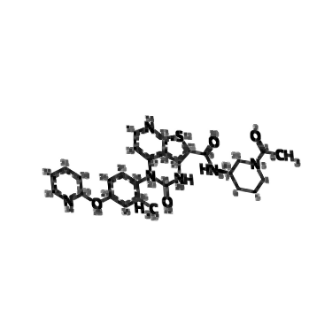 CC(=O)N1CCC[C@@H](NC(=O)c2sc3nccc4c3c2NC(=O)N4c2ccc(Oc3ccccn3)cc2C)C1